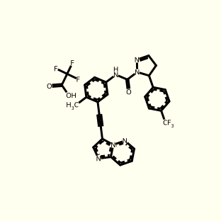 Cc1ccc(NC(=O)N2N=CCC2c2ccc(C(F)(F)F)cc2)cc1C#Cc1cnc2cccnn12.O=C(O)C(F)(F)F